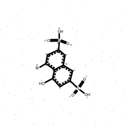 O=S(=O)(O)c1cc(O)c2c(Br)cc(S(=O)(=O)O)cc2c1